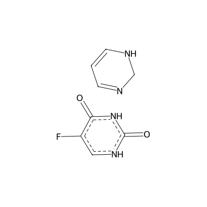 C1=CNCN=C1.O=c1[nH]cc(F)c(=O)[nH]1